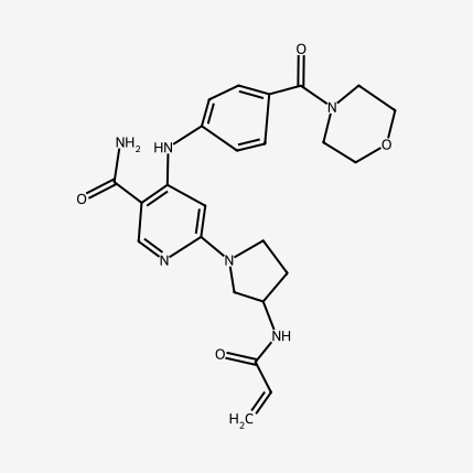 C=CC(=O)NC1CCN(c2cc(Nc3ccc(C(=O)N4CCOCC4)cc3)c(C(N)=O)cn2)C1